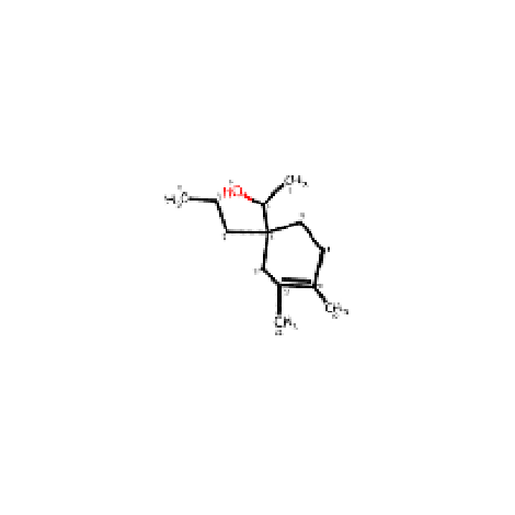 CCCC1(C(C)O)CCC(C)=C(C)C1